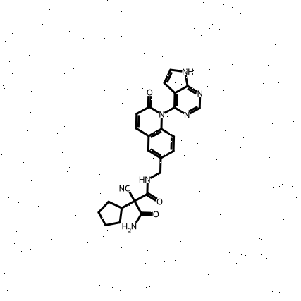 N#CC(C(N)=O)(C(=O)NCc1ccc2c(ccc(=O)n2-c2ncnc3[nH]ccc23)c1)C1CCCC1